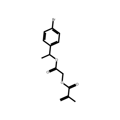 C=C(C)C(=O)OCC(=O)OC(C)c1ccc(Br)cc1